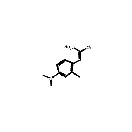 Cc1cc(N(C)C)ccc1C=C(C#N)C(=O)O